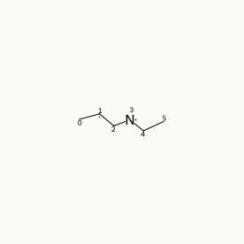 C[CH]C[N]CC